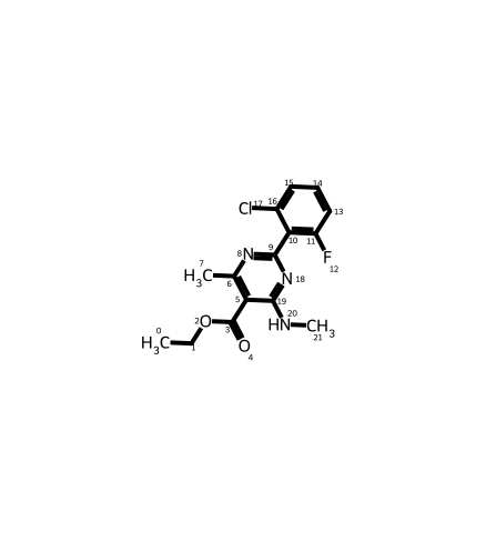 CCOC(=O)c1c(C)nc(-c2c(F)cccc2Cl)nc1NC